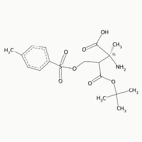 Cc1ccc(S(=O)(=O)OCC(C(=O)OC(C)(C)C)[C@](C)(N)C(=O)O)cc1